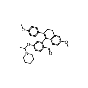 COc1ccc(C2=C(c3cc(OC(C)N4CCCCC4)ccc3C=O)c3ccc(OC)cc3CC2)cc1